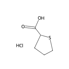 Cl.O=C(O)C1CCCS1